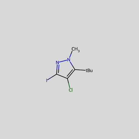 Cn1nc(I)c(Cl)c1C(C)(C)C